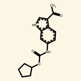 CC(=O)c1c[nH]c2cc(NC(=O)OC3CCCC3)ccc12